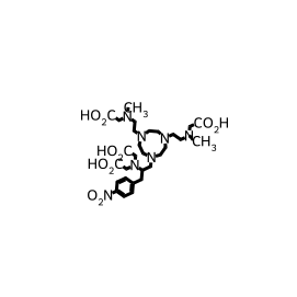 CN(CCN1CCN(CCN(C)CC(=O)O)CCN(CC(Cc2ccc([N+](=O)[O-])cc2)N(CC(=O)O)CC(=O)O)CC1)CC(=O)O